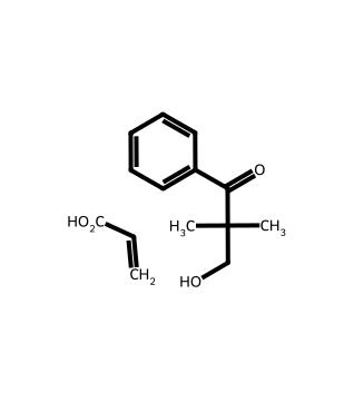 C=CC(=O)O.CC(C)(CO)C(=O)c1ccccc1